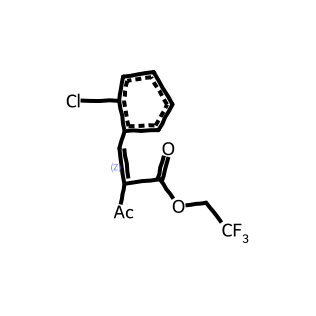 CC(=O)/C(=C/c1ccccc1Cl)C(=O)OCC(F)(F)F